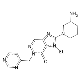 CCn1c(N2CCCC(N)C2)nc2cnn(Cc3ccncn3)c(=O)c21